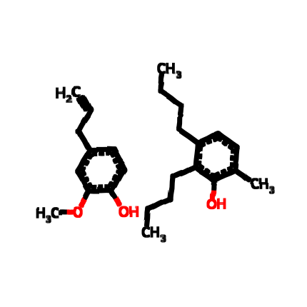 C=CCc1ccc(O)c(OC)c1.CCCCc1ccc(C)c(O)c1CCCC